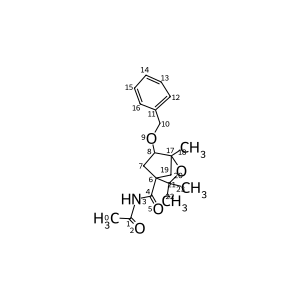 CC(=O)NC(=O)C12CC(OCc3ccccc3)C(C)(C1)OC2(C)C